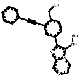 CC(C)(C)Nc1c(-c2ccc(CC#N)c(C#Cc3ccccc3)c2)nc2cnccn12